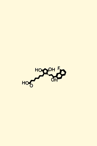 O=C(O)CCCCCCC1[C@@H](CCC(O)c2ccc3cccc(F)c3c2)[C@H](O)C[C@@H]1O